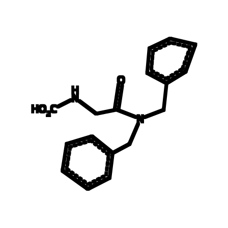 O=C(O)NCC(=O)N(Cc1ccccc1)Cc1ccccc1